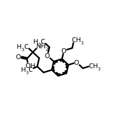 CCOc1ccc(CC(C)CC(C)(N)C(=O)O)c(OCC)c1OCC